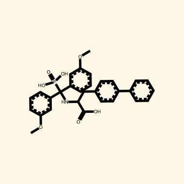 COc1cccc(C(NC(Cc2ccc(-c3ccccc3)cc2)C(=O)O)(c2cccc(OC)c2)P(=O)(O)O)c1